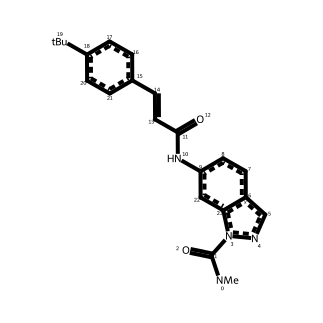 CNC(=O)n1ncc2ccc(NC(=O)/C=C/c3ccc(C(C)(C)C)cc3)cc21